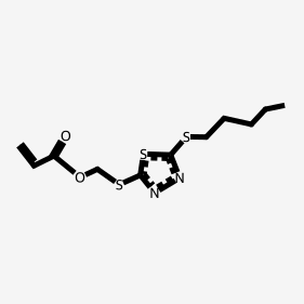 C=CC(=O)OCSc1nnc(SCCCCC)s1